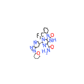 NC(=O)c1nc(-c2cnc3ncn(C4CCCCO4)c3c2)nc2c1[nH]c(=O)n2-c1ccccc1C(F)(F)F